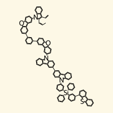 C=Cc1c(/C=C\C)n(-c2ccc3oc4ccc(-c5cccc(-c6ccc7oc8ccc(-n9c%10ccccc%10c%10cc(-c%11ccc%12c(c%11)c%11ccccc%11n%12-c%11cccc([Si](c%12ccccc%12)(c%12ccccc%12)c%12cccc(-c%13cccc%14c%13sc%13ccccc%13%14)c%12)c%11)ccc%109)cc8c7c6)c5)cc4c3c2)c2ccccc12